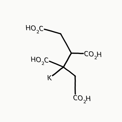 O=C(O)CC(C(=O)O)[C]([K])(CC(=O)O)C(=O)O